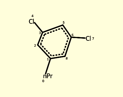 CCCc1cc(Cl)cc(Cl)c1